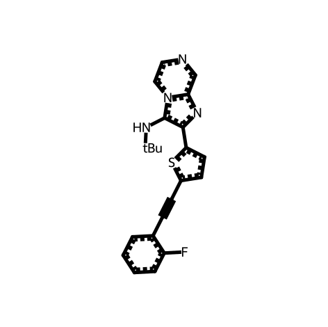 CC(C)(C)Nc1c(-c2ccc(C#Cc3ccccc3F)s2)nc2cnccn12